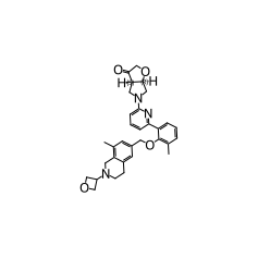 Cc1cc(COc2c(C)cccc2-c2cccc(N3C[C@@H]4OCC(=O)[C@H]4C3)n2)cc2c1CN(C1COC1)CC2